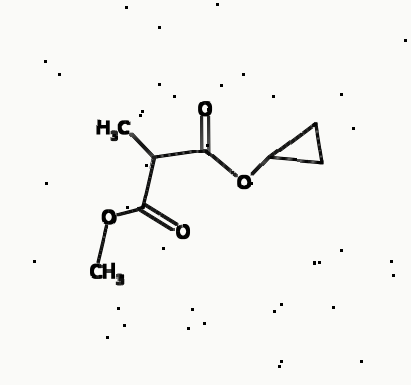 COC(=O)C(C)C(=O)OC1CC1